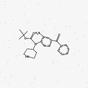 CC(C)(C)OC(=O)N(c1ccc(C(=O)c2ccccc2)cc1N)C1CCNCC1